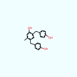 Cc1cc(O)c(Cc2ccc(O)cc2)cc1Cc1ccc(O)cc1